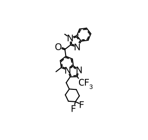 Cc1cc(C(=O)c2nc3ccccc3n2C)cc2nc(C(F)(F)F)c(CC3CCC(F)(F)CC3)n12